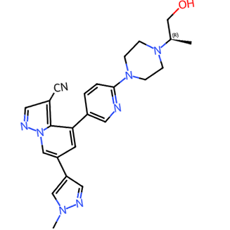 C[C@H](CO)N1CCN(c2ccc(-c3cc(-c4cnn(C)c4)cn4ncc(C#N)c34)cn2)CC1